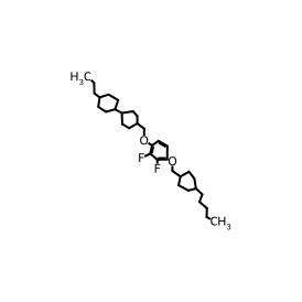 CCCCCC1CCC(COc2ccc(OCC3CCC(C4CCC(CCC)CC4)CC3)c(F)c2F)CC1